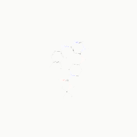 Cc1ccc(Nc2cc(OC3CCN(C(=O)OC(C)(C)C)CC3)ncn2)cc1F